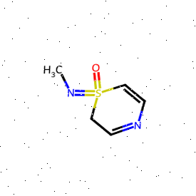 CN=S1(=O)C=CN=CC1